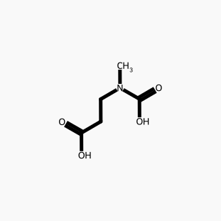 CN(CCC(=O)O)C(=O)O